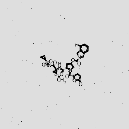 C=C[C@@H]1C[C@]1(NC(=O)[C@@H]1CC(OC(=O)N2Cc3cccc(F)c3C2)CN1C(=O)[C@@H]1CCC(=O)O1)C(=O)NS(=O)(=O)C1CC1